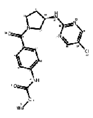 CC(C)(C)OC(=O)Nc1ccc(C(=O)N2CC[C@@H](Nc3ncc(Cl)cn3)C2)cc1